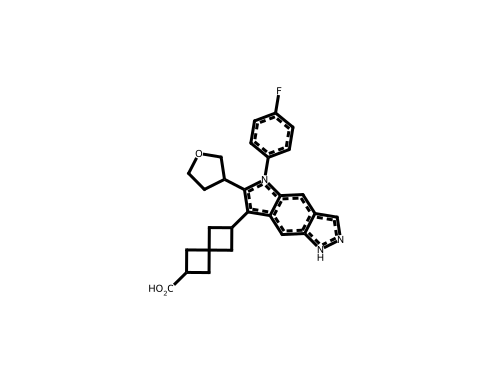 O=C(O)C1CC2(C1)CC(c1c(C3CCOC3)n(-c3ccc(F)cc3)c3cc4cn[nH]c4cc13)C2